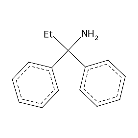 [CH2]CC(N)(c1ccccc1)c1ccccc1